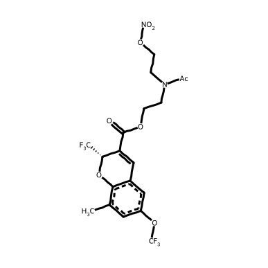 CC(=O)N(CCOC(=O)C1=Cc2cc(OC(F)(F)F)cc(C)c2O[C@@H]1C(F)(F)F)CCO[N+](=O)[O-]